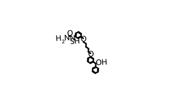 NC(=O)N(S)c1cccc(OCCCCCOc2cccc(C(O)c3ccccc3)c2)c1